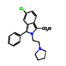 CCOC(=O)c1c2ccc(Cl)cc2c(-c2ccccc2)n1CCN1CCCC1